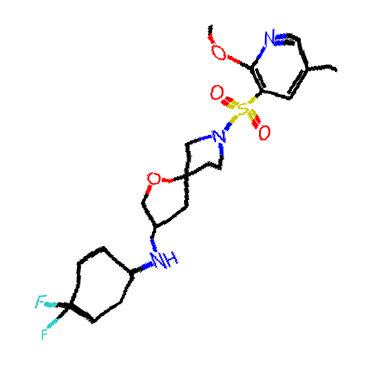 COc1ncc(C)cc1S(=O)(=O)N1CC2(CC(NC3CCC(F)(F)CC3)CO2)C1